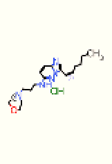 CCCC/C=C\c1cnc2ccc(NCCCN3CCOCC3)nn12.Cl